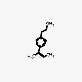 C/C=C(/C)c1ccc(CC[SiH3])cc1